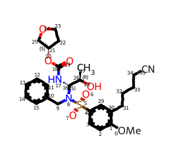 COc1ccc(S(=O)(=O)N(Cc2ccccc2)[C@H](NC(=O)O[C@H]2CCOC2)[C@@H](C)O)cc1CCCCC#N